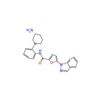 N[C@@H]1CCCN(c2ccccc2NC(=O)c2ccc(-n3ncc4ccccc43)o2)C1